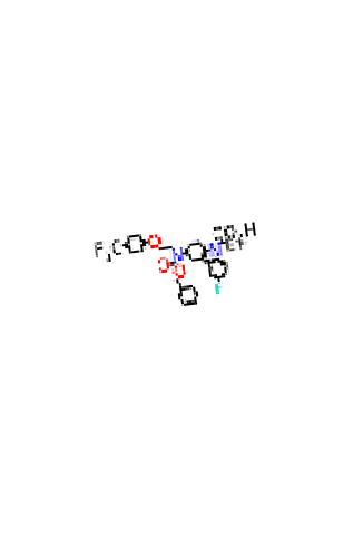 CCC(C(=O)O)n1c2c(c3cc(F)ccc31)CC(N(CCOc1ccc(C(F)(F)F)cc1)C(=O)OCc1ccccc1)CC2